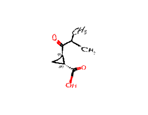 CC(C)C(=O)[C@@H]1C[C@H]1C(=O)O